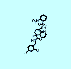 C[C@@]1(NS(=O)(=O)c2ccccc2[N+](=O)[O-])CC[C@@](F)(C(=O)NCc2ccc(Cl)cc2Cl)c2cccnc21